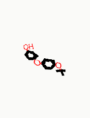 CC(C)(C)Oc1ccc(Oc2ccc(O)cc2)cc1